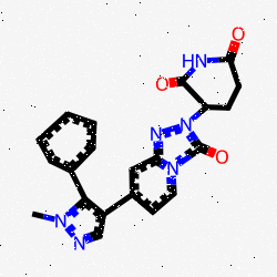 Cn1ncc(-c2ccn3c(=O)n(C4CCC(=O)NC4=O)nc3c2)c1-c1ccccc1